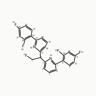 FCC(c1cccc(-c2ccc(F)cc2F)n1)c1cccc(-c2ccc(F)cc2F)n1